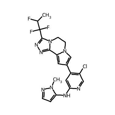 CC(F)C(F)(F)c1nnc2n1CCn1cc(-c3cc(Nc4ccnn4C)ncc3Cl)cc1-2